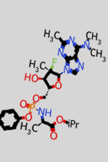 Cc1nc(N(C)C)c2ncn([C@@H]3O[C@H](CO[P@@](=O)(N[C@@H](C)C(=O)OC(C)C)Oc4ccccc4)[C@@H](O)[C@@]3(C)F)c2n1